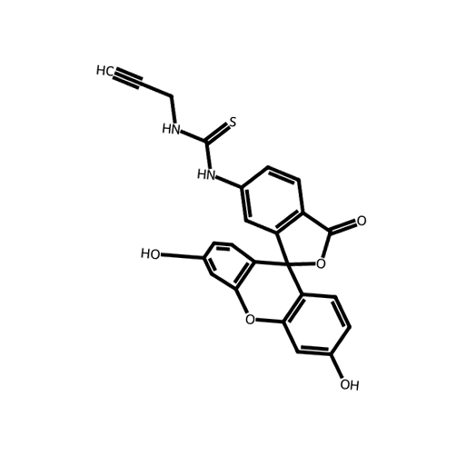 C#CCNC(=S)Nc1ccc2c(c1)C1(OC2=O)c2ccc(O)cc2Oc2cc(O)ccc21